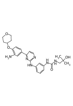 CC(C)(O)CNC(=O)Nc1cccc(Nc2nccc(-c3ccc(OC4CCOCC4)c(N)c3)n2)c1